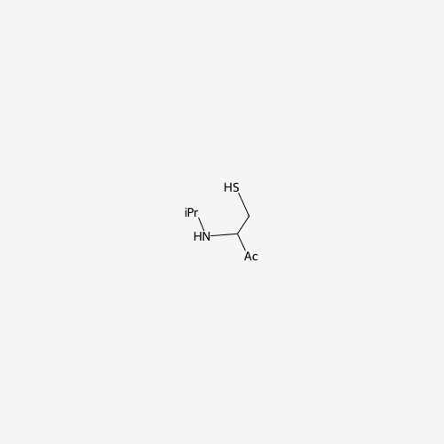 CC(=O)C(CS)NC(C)C